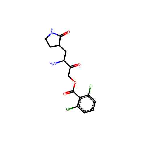 NC(CC1CCNC1=O)C(=O)COC(=O)c1c(Cl)cccc1Cl